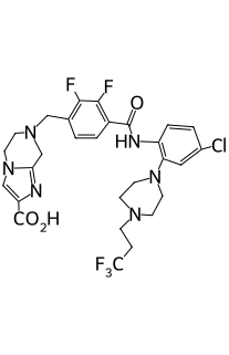 O=C(O)c1cn2c(n1)CN(Cc1ccc(C(=O)Nc3ccc(Cl)cc3N3CCN(CCC(F)(F)F)CC3)c(F)c1F)CC2